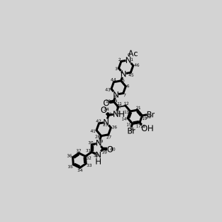 CC(=O)N1CCN(C2CCN(C(=O)[C@@H](Cc3cc(Br)c(O)c(Br)c3)NC(=O)N3CCC(n4cc(-c5ccccc5)[nH]c4=O)CC3)CC2)CC1